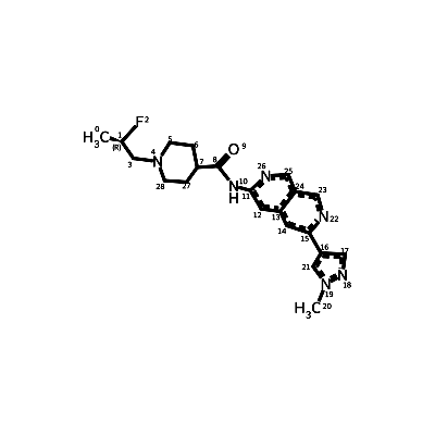 C[C@@H](F)CN1CCC(C(=O)Nc2cc3cc(-c4cnn(C)c4)ncc3cn2)CC1